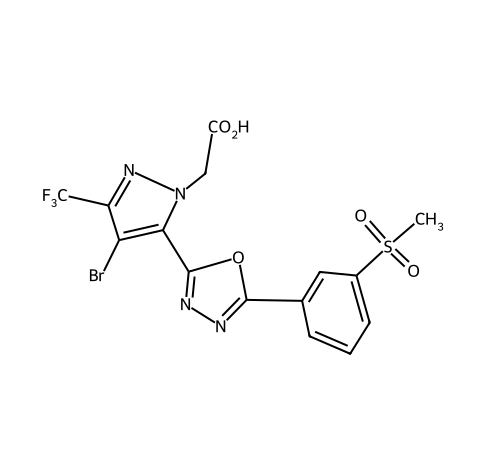 CS(=O)(=O)c1cccc(-c2nnc(-c3c(Br)c(C(F)(F)F)nn3CC(=O)O)o2)c1